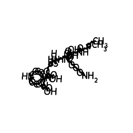 CC(C)Cc1ccc(CCCC(=O)NCCCCC(NC(=O)C(CCCCNC(=S)Nc2ccc(CCOc3cc(CN4CCOCCOCCNCCOCCOC[C@@H]4Cc4cccc(C(=O)O)n4)nc(C(=O)O)c3)cc2)NC(=O)CCOCCOCCOCCN)C(=O)O)cc1